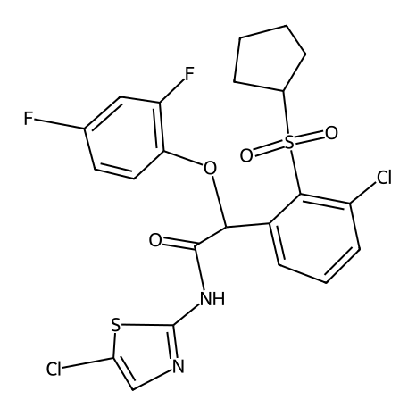 O=C(Nc1ncc(Cl)s1)C(Oc1ccc(F)cc1F)c1cccc(Cl)c1S(=O)(=O)C1CCCC1